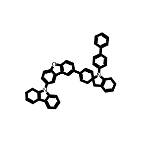 C1=CC2=C(CC1)N(c1ccc(-c3ccccc3)cc1)C1(C=CC(c3ccc4oc5ccc(-n6c7c(c8ccccc86)C=CCC7)cc5c4c3)=CC1)C2